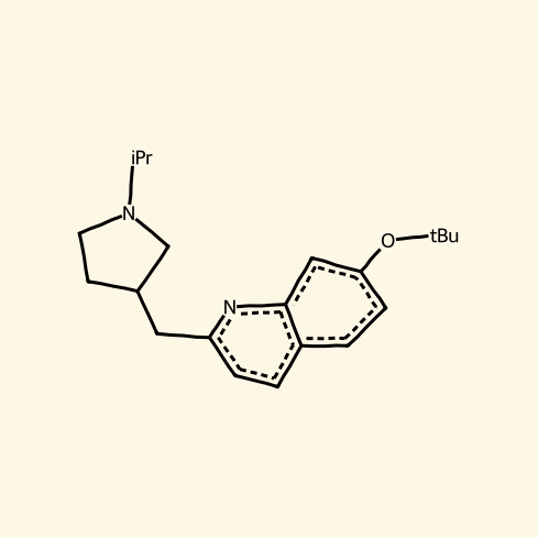 CC(C)N1CCC(Cc2ccc3ccc(OC(C)(C)C)cc3n2)C1